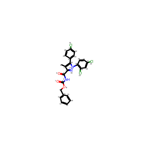 Cc1c(C(=O)NC(=O)OCc2ccccc2)nn(-c2ccc(Cl)cc2Cl)c1-c1ccc(Cl)cc1